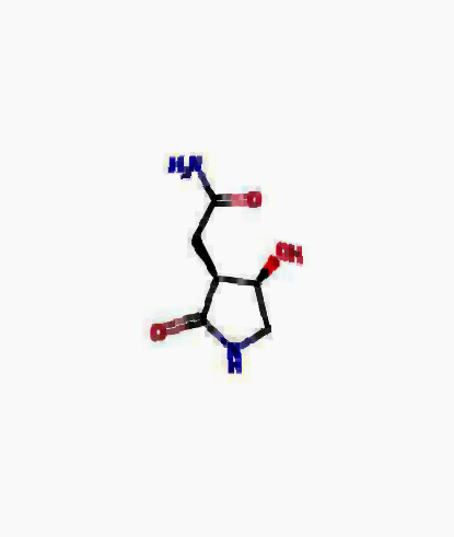 NC(=O)C[C@@H]1C(=O)NC[C@@H]1O